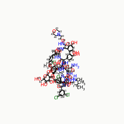 CN[C@H](CC(C)C)C(=O)N[C@H]1C(=O)N[C@@H](CC(N)=O)C(=O)NC2C(=O)N[C@H]3C(=O)N[C@H](C(=O)N[C@@H](C(=O)NOCCN4CCOCC4)c4cc(O)cc(O)c4-c4cc3ccc4O)[C@H](O)c3ccc(c(Cl)c3)Oc3cc2cc(c3O[C@@H]2O[C@H](CO)[C@@H](O)[C@H](O)[C@H]2O[C@H]2C[C@](C)(NCCn3ccc(NC(=O)c4cc(Cl)cc(Cl)c4)nc3=O)[C@H](O)[C@H](C)O2)Oc2ccc(cc2Cl)[C@H]1O